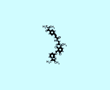 Cc1nc2c(OCc3c(Cl)ccc(N(C)C(=O)CNC(=O)/C=C/c4ccc(C(=O)N(C)C)cc4)c3Cl)cccn2c1C